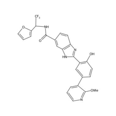 COc1ncccc1-c1ccc(O)c(-c2nc3ccc(C(=O)NC(c4ccco4)C(F)(F)F)cc3[nH]2)c1